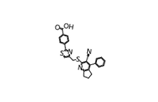 N#Cc1c(SCc2csc(-c3ccc(C(=O)O)cc3)n2)nc2c(c1-c1ccccc1)CCC2